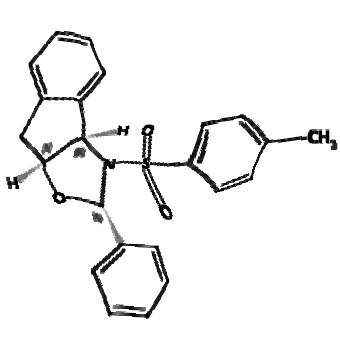 Cc1ccc(S(=O)(=O)N2[C@@H]3c4ccccc4C[C@@H]3O[C@H]2c2ccccc2)cc1